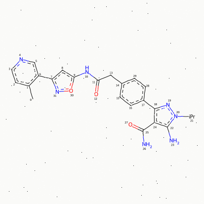 Cc1ccncc1-c1cc(NC(=O)Cc2ccc(-c3nn(C(C)C)c(N)c3C(N)=O)cc2)on1